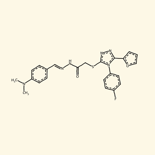 CN(C)c1ccc(C=NNC(=O)CSc2nnc(-c3ccco3)n2-c2ccc(F)cc2)cc1